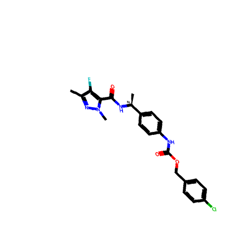 Cc1nn(C)c(C(=O)N[C@@H](C)c2ccc(NC(=O)OCc3ccc(Cl)cc3)cc2)c1F